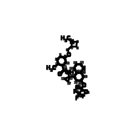 Cc1ccc(OCC2CCN2C)cc1C(=O)NC1(c2cc(OS(=O)(=O)C(F)(F)F)cc3ncccc23)CC1